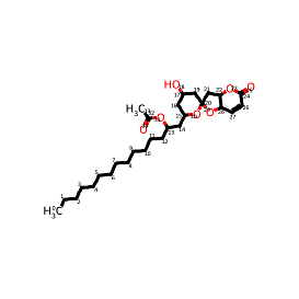 CCCCCCCCCCCCCC(CC1CC(O)CC2(CC3OC(=O)C=CC3O2)O1)OC(C)=O